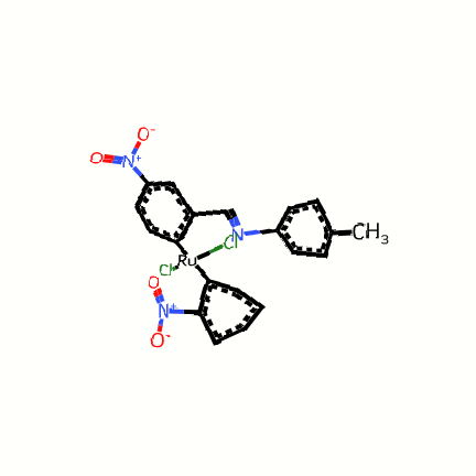 Cc1ccc(N=Cc2cc([N+](=O)[O-])cc[c]2[Ru]([Cl])([Cl])[c]2ccccc2[N+](=O)[O-])cc1